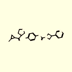 CC1CC1C(=O)[C@@]1(Oc2ccc(NC(=O)N3CC(c4cccnc4)C3)cc2)CCNC1